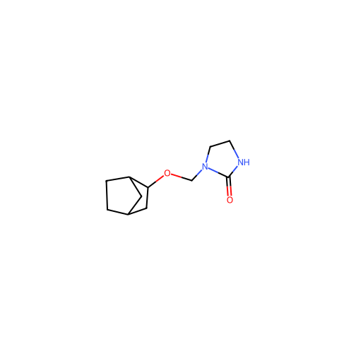 O=C1NCCN1COC1CC2CCC1C2